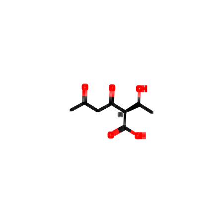 CC(=O)CC(=O)[C@H](C(=O)O)C(C)O